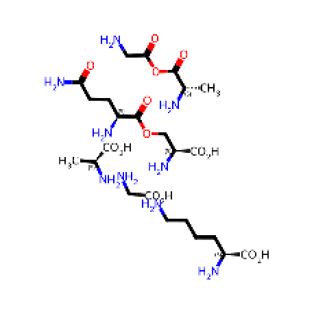 C[C@H](N)C(=O)O.C[C@H](N)C(=O)OC(=O)CN.NC(=O)CC[C@H](N)C(=O)OC[C@H](N)C(=O)O.NCC(=O)O.NCCCC[C@H](N)C(=O)O